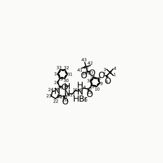 Br.CC(C)(C)C(=O)Oc1ccc(C(=O)CNCCNC(=O)[C@H]2CCCN2C(=O)Cc2ccccc2)cc1OC(=O)C(C)(C)C